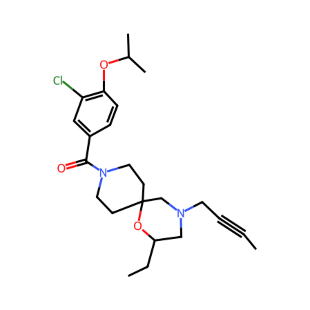 CC#CCN1CC(CC)OC2(CCN(C(=O)c3ccc(OC(C)C)c(Cl)c3)CC2)C1